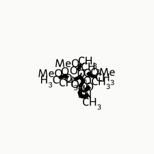 COC(C)(C)C(=O)OC[C@H]1O[C@@H](n2ccc(C)nc2=O)[C@H](OC(=O)C(C)(C)OC)[C@@H]1OC(=O)C(C)(C)OC